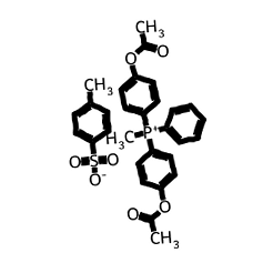 CC(=O)Oc1ccc([P+](C)(c2ccccc2)c2ccc(OC(C)=O)cc2)cc1.Cc1ccc(S(=O)(=O)[O-])cc1